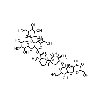 C=C1C[C@@]2(C)CCC3[C@](C)(C(=O)OC4OC(CO)C(O)C(OC5OC(CO)C(O)C(O)C5O)C4OC4OC(CO)C(O)C(O)C4O)CCC[C@@]3(C)[C@@H]2CCC1OC1OC(CO)C(O)C(OC2OC(CO)C(O)C(O)C2O)C1O